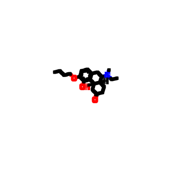 CCCCOc1ccc2c(c1O)[C@@]1(C)CC(=O)CC[C@H]1[C@H](N(C)CC)C2